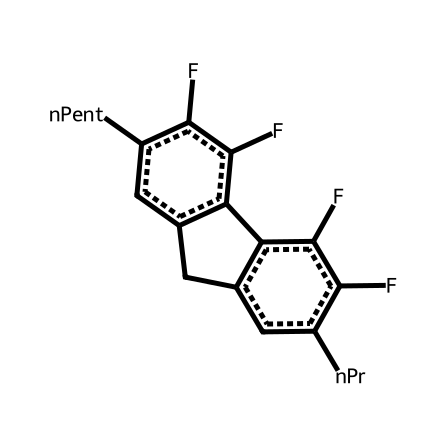 CCCCCc1cc2c(c(F)c1F)-c1c(cc(CCC)c(F)c1F)C2